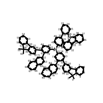 CC1(C)c2ccccc2-c2cc(-c3ccc(N(c4ccc(-c5ccccc5-n5c6ccccc6c6ccccc65)cc4)c4ccc(-c5ccc6c(c5)-c5ccccc5C6(C)C)c(-c5ccc6ccccc6c5)c4)cc3-c3ccc4ccccc4c3)ccc21